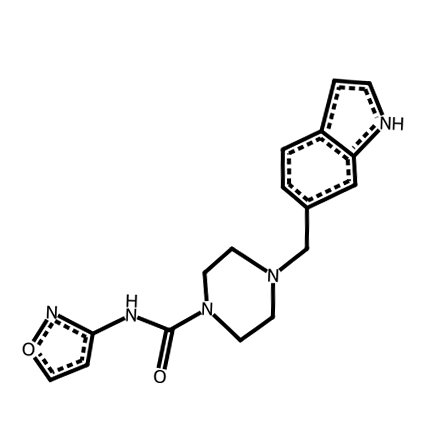 O=C(Nc1ccon1)N1CCN(Cc2ccc3cc[nH]c3c2)CC1